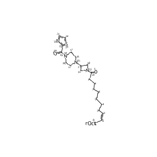 CCCCCCCC/C=C\CCCCCCCC(=O)N1CC(N2CCN(C(=O)c3nccs3)CC2)C1